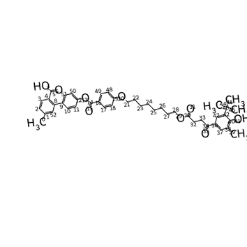 Cc1ccc(C(=O)O)c(-c2ccc(OC(=O)c3ccc(OCCCCCCCCOC(=O)CCC(=O)c4cc(C)c(O)c(C(C)(C)C)c4)cc3)cc2)c1